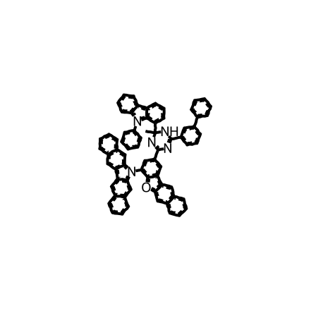 CC1(c2cccc3c4ccccc4n(-c4ccccc4)c23)N=C(c2cc(-n3c4cc5ccccc5cc4c4cc5ccccc5cc43)c3oc4cc5ccccc5cc4c3c2)N=C(c2cccc(-c3ccccc3)c2)N1